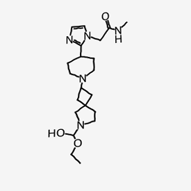 CCOC(O)N1CCC2(CC(N3CCC(c4nccn4CC(=O)NC)CC3)C2)C1